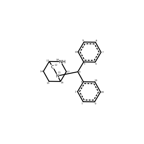 c1ccc(C(c2ccccc2)N2CC3CCC2CN3)cc1